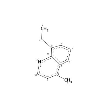 CCc1cccc2c(C)ccnc12